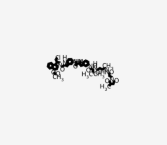 CC(=O)Oc1cc2c(c3ccccc13)C(CCl)CN2C(=O)c1cc2cc(NC(=O)c3cc4cc(NC(=O)[C@@H](NC(=O)CC/C(C)=N\NC(=O)CCN5C(=O)CC(C)C5=O)C(C)C)ccc4[nH]3)ccc2[nH]1